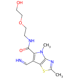 Cc1nc2c(s1)c(C=N)c(C(=O)NCCOCCO)n2C